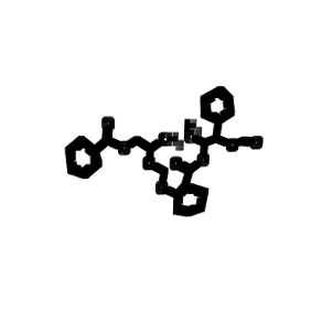 CC(COC(=O)c1ccccc1)OCOc1ccccc1C(=O)OC(C)C(OC=O)c1ccccc1